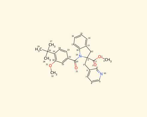 COC(=O)C1(Cc2cccnc2)Cc2ccccc2N1C(=O)c1ccc(C(C)(C)C)c(OC)c1